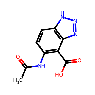 CC(=O)Nc1ccc2[nH]nnc2c1C(=O)O